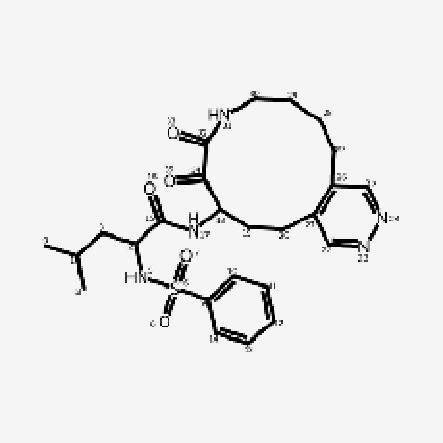 CC(C)CC(NS(=O)(=O)c1ccccc1)C(=O)NC1CCc2cnncc2CCCCNC(=O)C1=O